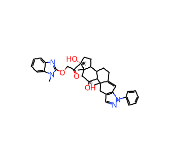 Cn1c(OCC(=O)[C@@]2(O)CCC3C4CCC5=Cc6c(cnn6-c6ccccc6)CC5(C)C4[C@@H](O)CC32C)nc2ccccc21